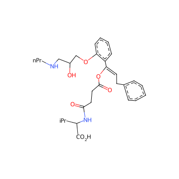 CCCNCC(O)COc1ccccc1/C(=C/Cc1ccccc1)OC(=O)CCC(=O)NC(C(=O)O)C(C)C